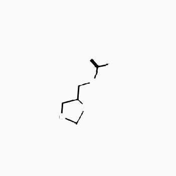 O=C(O)OCC1COCO1